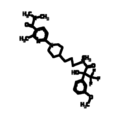 COc1cccc(C(O)(C(=O)N(C)CCCC2CCN(c3ccc(C(=O)N(C)C)c(C)n3)CC2)C(F)(F)F)c1